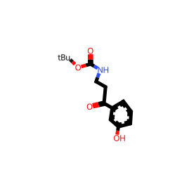 CC(C)(C)OC(=O)NCCC(=O)c1cccc(O)c1